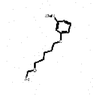 CNc1cccc(OCCCCCOCC(C)=O)c1